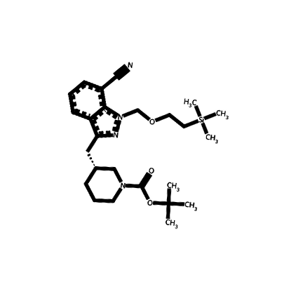 CC(C)(C)OC(=O)N1CCC[C@H](Cc2nn(COCC[Si](C)(C)C)c3c(C#N)cccc23)C1